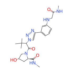 CNC(=O)CNc1cccc(-c2cn(C(C(=O)N3CC(O)C[C@@H]3C(=O)NC)C(C)(C)C)nn2)c1